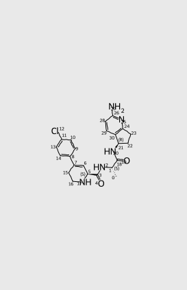 C[C@H](NC(=O)[C@@H]1C=C(c2ccc(Cl)cc2)CCN1)C(=O)N[C@@H]1CCc2nc(N)ccc21